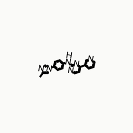 Cc1cn(-c2ccc(Nc3nccc(-c4cccnc4)n3)cc2)cn1